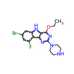 CCOc1nc(N2CCNCC2)nc2c1[nH]c1cc(Br)cc(F)c12